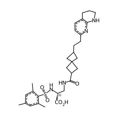 Cc1cc(C)c(S(=O)(=O)N[C@@H](CNC(=O)C2CC3(CC(CCc4ccc5c(n4)NCCC5)C3)C2)C(=O)O)c(C)c1